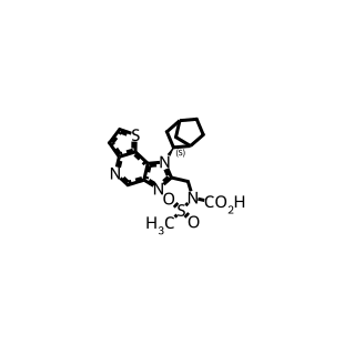 CS(=O)(=O)N(Cc1nc2cnc3ccsc3c2n1[C@H]1CC2CCC1C2)C(=O)O